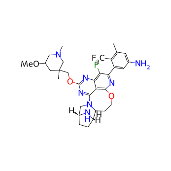 COC1CN(C)CC(C)(COc2nc3c4c(nc(-c5cc(N)cc(C)c5C(F)(F)F)c(F)c4n2)OCC[C@@H]2[C@@H]4CC[C@H](CN32)N4)C1